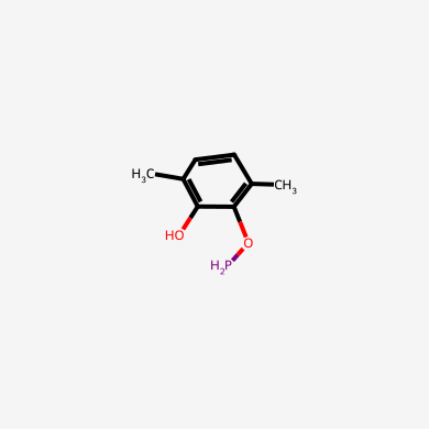 Cc1ccc(C)c(OP)c1O